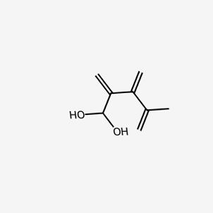 C=C(C)C(=C)C(=C)C(O)O